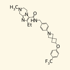 CCc1nc2n(c1C(=O)NCc1ccc(N3CC4(CC(Oc5ccc(C(F)(F)F)cc5)C4)C3)cc1)CCN(C)C2